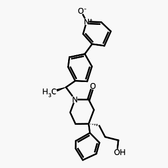 C[C@@H](c1ccc(-c2ccc[n+]([O-])c2)cc1)N1CC[C@](CCCO)(c2ccccc2)CC1=O